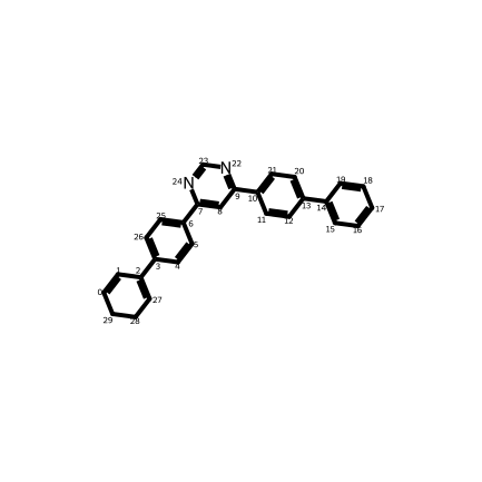 C1=CC(c2ccc(-c3cc(-c4ccc(-c5ccccc5)cc4)ncn3)cc2)=CCC1